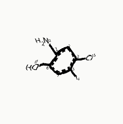 Nc1cc(Cl)c(I)cc1O